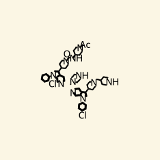 CC(=O)N1CCC(NC(=O)N2CCC(c3cn(-c4ccccc4Cl)c4cnccc34)CC2)CC1.CN1CCNCC1.Clc1ccc(-n2cc(C3CCN(CC4CCNCC4)CC3)c3ccncc32)cc1